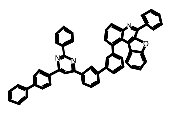 c1ccc(-c2ccc(-c3cc(-c4cccc(-c5cccc(-c6cccc7nc(-c8ccccc8)c8oc9ccccc9c8c67)c5)c4)nc(-c4ccccc4)n3)cc2)cc1